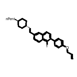 C=CCOc1ccc(-c2ccc3cc(CC[C@H]4CC[C@H](CCCCC)CC4)ccc3c2F)cc1